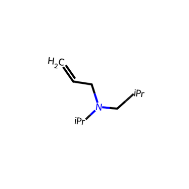 C=CCN(CC(C)C)C(C)C